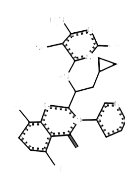 Cc1nc(N)c(C#N)c(NC(CC2CC2)c2nc3c(F)ccc(Cl)c3c(=O)n2-c2cccnc2)n1